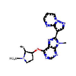 Cn1c(-c2cnn3cccnc23)nc2c(OC3CCN(C(=O)O)C3C(C)(C)C)ncnc21